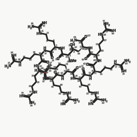 CN[C@@H](CO)C(=O)N[C@H](CCCNC(=N)N)C(=O)N[C@H](CCCNC(=N)N)C(=O)N[C@H](CCCNC(=N)N)C(=O)N[C@H](CCCNC(=N)N)C(=O)N[C@H](CCCNC(=N)N)C(=O)N[C@H](CCCNC(=N)N)C(=O)N[C@H](CCCNC(=N)N)C(=O)N[C@H](CCCNC(=N)N)C(=O)N[C@H](CS)C(N)=O